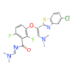 CN(C)/C=N/C(=O)c1c(F)ccc(O/C(=C/N(C)C)c2nc3cc(Cl)ccc3s2)c1F